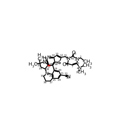 CCn1c(N(C)C)cc(=O)n(Cc2cc3nccc(-c4cc(C#N)cc5c4N(C4CNC(C)(C)C4)CCC5)c3s2)c1=O